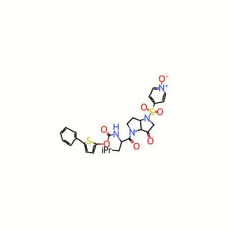 CC(C)CC(NC(=O)Oc1ccc(-c2ccccc2)s1)C(=O)N1CCC2C1C(=O)CN2S(=O)(=O)c1cc[n+]([O-])cc1